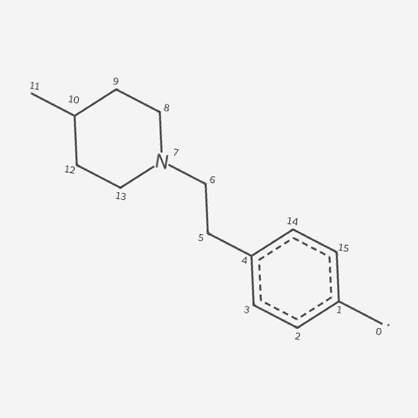 [CH2]c1ccc(CCN2CCC(C)CC2)cc1